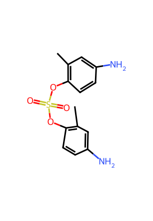 Cc1cc(N)ccc1OS(=O)(=O)Oc1ccc(N)cc1C